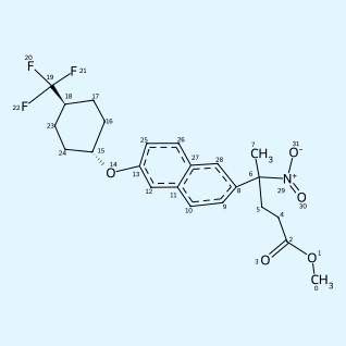 COC(=O)CCC(C)(c1ccc2cc(O[C@H]3CC[C@H](C(F)(F)F)CC3)ccc2c1)[N+](=O)[O-]